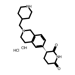 Cl.Cl.O=C1CC[C@H](c2ccc3c(c2)CCN(CC2CCNCC2)C3)C(=O)N1